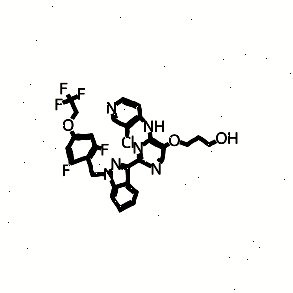 OCCCOc1cnc(-c2nn(Cc3c(F)cc(OCC(F)(F)F)cc3F)c3ccccc23)nc1Nc1ccncc1Cl